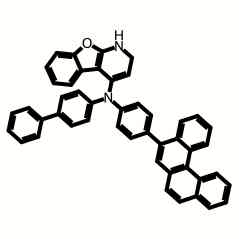 C1=C(N(c2ccc(-c3ccccc3)cc2)c2ccc(-c3cc4ccc5ccccc5c4c4ccccc34)cc2)c2c(oc3ccccc23)NC1